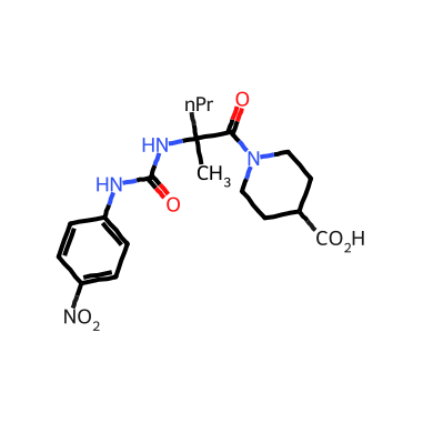 CCCC(C)(NC(=O)Nc1ccc([N+](=O)[O-])cc1)C(=O)N1CCC(C(=O)O)CC1